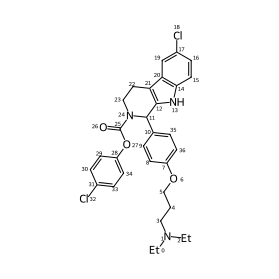 CCN(CC)CCCOc1ccc(C2c3[nH]c4ccc(Cl)cc4c3CCN2C(=O)Oc2ccc(Cl)cc2)cc1